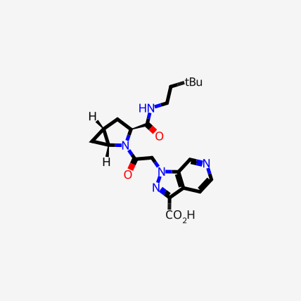 CC(C)(C)CCNC(=O)[C@@H]1C[C@H]2C[C@H]2N1C(=O)Cn1nc(C(=O)O)c2ccncc21